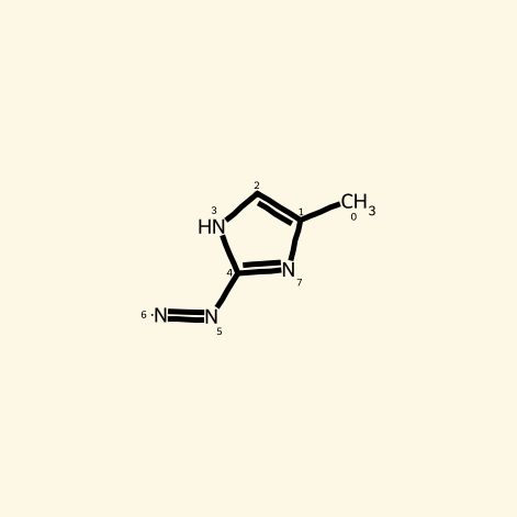 Cc1c[nH]c(N=[N])n1